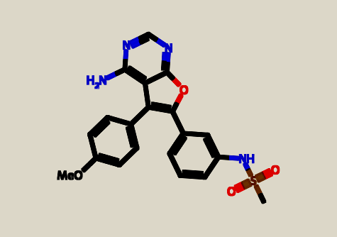 COc1ccc(-c2c(-c3cccc(NS(C)(=O)=O)c3)oc3ncnc(N)c23)cc1